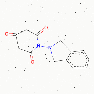 O=C1CC(=O)N(N2Cc3ccccc3C2)C(=O)C1